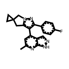 Cc1cc(-c2c(-c3ccc(F)cc3)nn3c2CC2(CC2)C3)c2cn[nH]c2n1